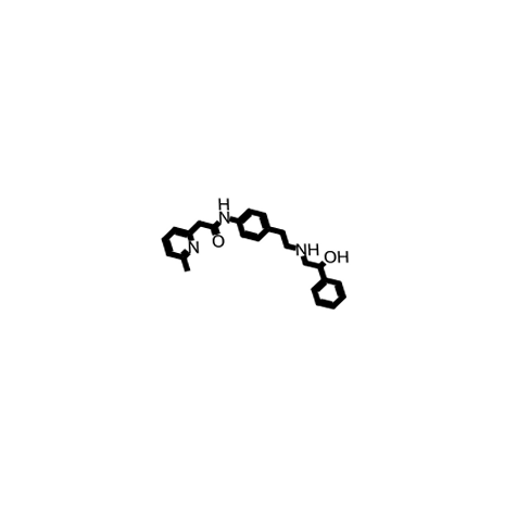 Cc1cccc(CC(=O)Nc2ccc(CCNCC(O)c3ccccc3)cc2)n1